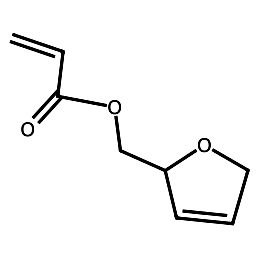 C=CC(=O)OCC1C=CCO1